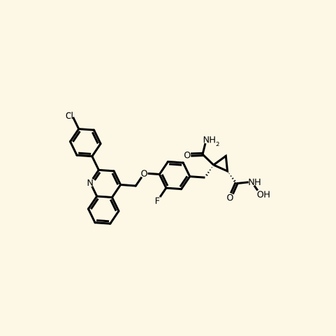 NC(=O)[C@@]1(Cc2ccc(OCc3cc(-c4ccc(Cl)cc4)nc4ccccc34)c(F)c2)C[C@@H]1C(=O)NO